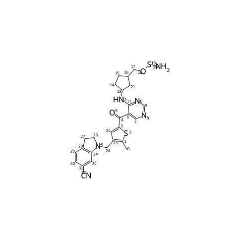 Cc1sc(C(=O)c2cncnc2NC2CCC(COSN)C2)cc1CN1CCc2ccc(C#N)cc21